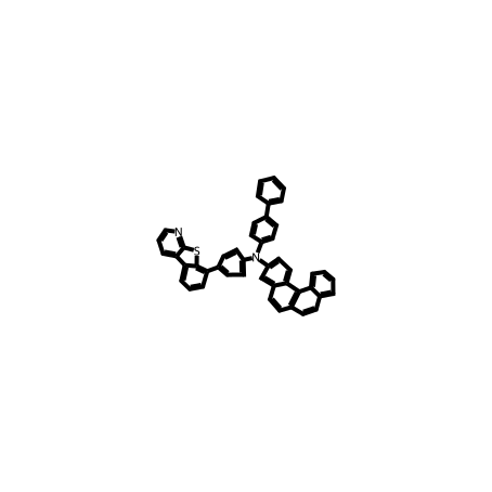 c1ccc(-c2ccc(N(c3ccc(-c4cccc5c4sc4ncccc45)cc3)c3ccc4c(ccc5ccc6ccccc6c54)c3)cc2)cc1